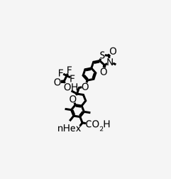 CCCCCCC(C(=O)O)c1c(C)c(C)c2c(c1C)CCC(C)(COc1ccc(C=C3SC(=O)N(C)C3=O)cc1)O2.O=C(O)C(F)(F)F